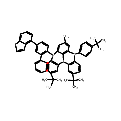 Cc1cc2c3c(c1)N(c1ccc(-c4cccc5sccc45)cc1-c1ccccc1)c1ccc(C(C)(C)C)cc1B3c1cc(C(C)(C)C)ccc1N2c1ccc(C(C)(C)C)cc1